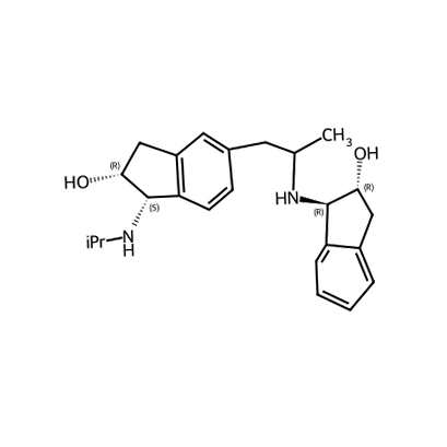 CC(C)N[C@H]1c2ccc(CC(C)N[C@@H]3c4ccccc4C[C@H]3O)cc2C[C@H]1O